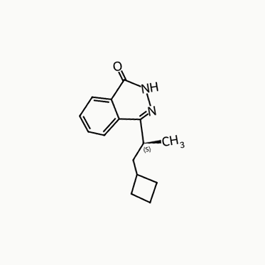 C[C@@H](CC1CCC1)c1n[nH]c(=O)c2ccccc12